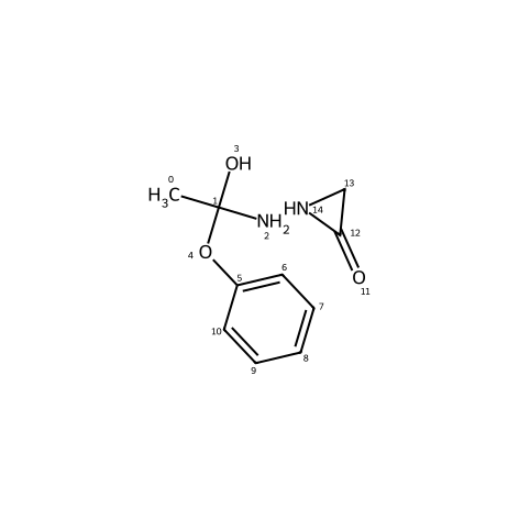 CC(N)(O)Oc1ccccc1.O=C1CN1